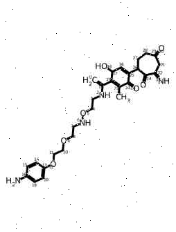 C=C(NCCONCCOCCOc1ccc(N)cc1)C1=C(C)C(=O)C(C2CCC(=O)CC(=N)C2=O)=CC1O